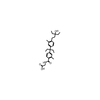 CCC(O)(CC)CCc1ccc(C(CC)(CC)c2ccc(C(=O)NCC(=O)O)c(C)c2)cc1C